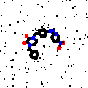 O=C1C(=O)N(Cc2ccc(Nc3ccc([N+](=O)[O-])cn3)cc2)CCN1Cc1ccccc1